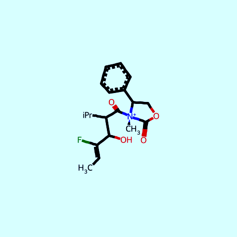 CC=C(F)C(O)C(C(=O)[N@@+]1(C)C(=O)OCC1c1ccccc1)C(C)C